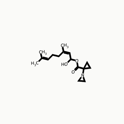 CC(C)=CCCC(C)=CC(O)OC(=O)C1(N2CC2)CC1